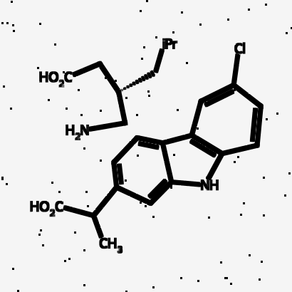 CC(C(=O)O)c1ccc2c(c1)[nH]c1ccc(Cl)cc12.CC(C)C[C@H](CN)CC(=O)O